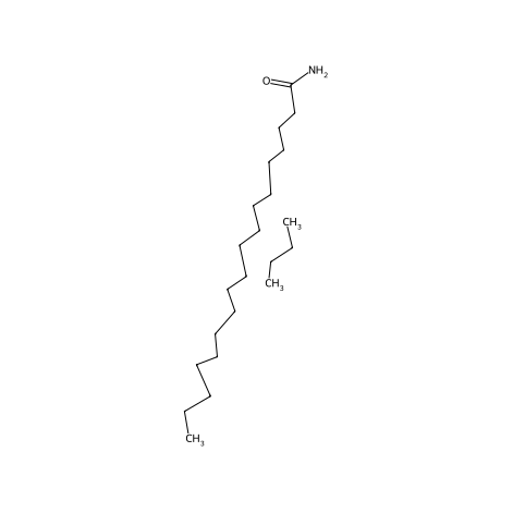 CCCC.CCCCCCCCCCCCCCCCCC(N)=O